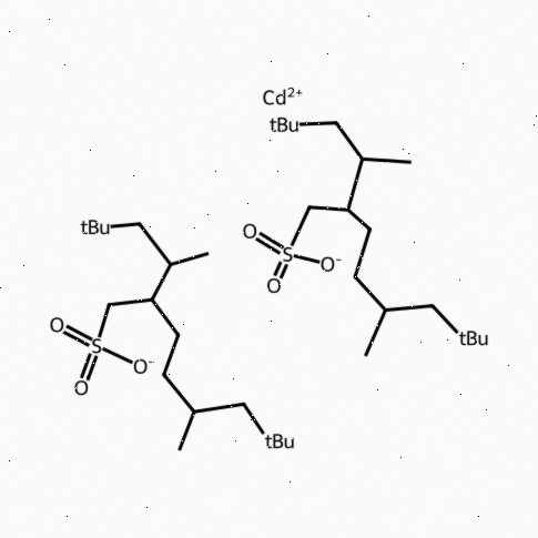 CC(CCC(CS(=O)(=O)[O-])C(C)CC(C)(C)C)CC(C)(C)C.CC(CCC(CS(=O)(=O)[O-])C(C)CC(C)(C)C)CC(C)(C)C.[Cd+2]